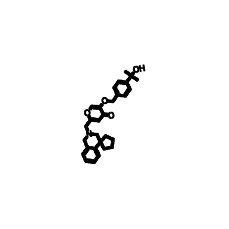 CC(C)(O)c1ccc(COc2coc(CN3Cc4ccccc4C4(CCCC4)C3)cc2=O)cc1